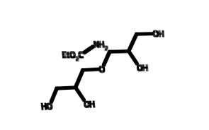 CCOC(N)=O.OCC(O)COCC(O)CO